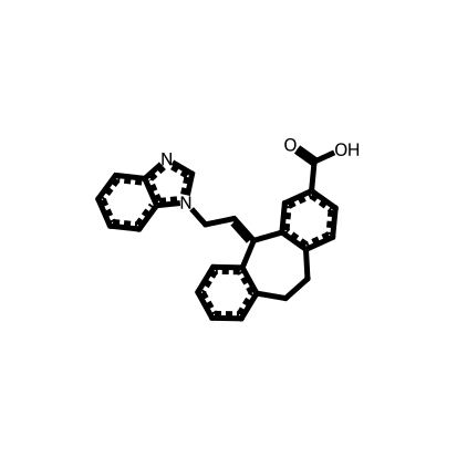 O=C(O)c1ccc2c(c1)/C(=C/Cn1cnc3ccccc31)c1ccccc1CC2